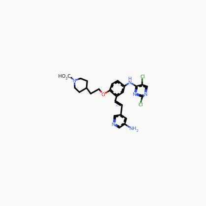 Nc1cncc(/C=C/c2cc(Nc3nc(Cl)ncc3Cl)ccc2OCCC2CCN(C(=O)O)CC2)c1